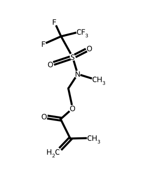 C=C(C)C(=O)OCN(C)S(=O)(=O)C(F)(F)C(F)(F)F